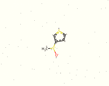 C[S+]([O-])c1[c]csc1